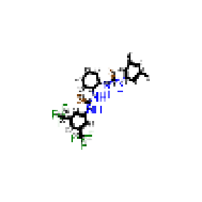 Cc1cc(C)cc(NC(=S)N[C@H]2CCCC[C@H]2NC(=S)Nc2cc(C(F)(F)F)cc(C(F)(F)F)c2)c1